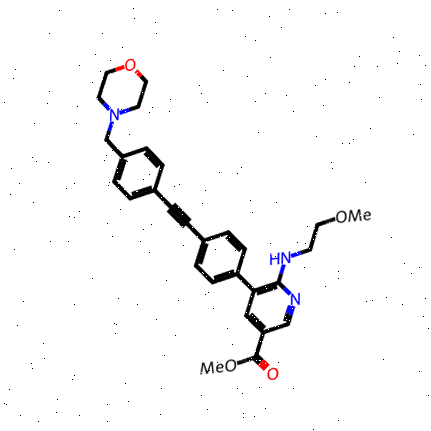 COCCNc1ncc(C(=O)OC)cc1-c1ccc(C#Cc2ccc(CN3CCOCC3)cc2)cc1